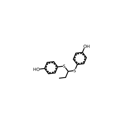 CCC(Sc1ccc(O)cc1)Sc1ccc(O)cc1